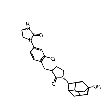 O=C1NCCN1c1ccc(CC2CCN(C3C4CC5CC3CC(O)(C5)C4)C2=O)c(Cl)c1